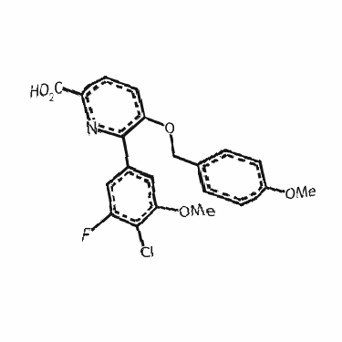 COc1ccc(COc2ccc(C(=O)O)nc2-c2cc(F)c(Cl)c(OC)c2)cc1